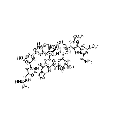 CC[C@H](C)[C@H](NC(=O)[C@H](CCC(=O)O)NC(=O)[C@H](CCC(=O)O)NC(=O)[C@H](CCC(=O)O)NC(=O)CN)C(=O)NCC(=O)N[C@@H](CCC(=O)O)C(=O)N1CCC[C@H]1C(=O)N[C@@H](CCCNC(=N)N)C(=O)N[C@@H](CC(=O)O)C(=O)N[C@@H](Cc1ccc(O)cc1)C(N)=O